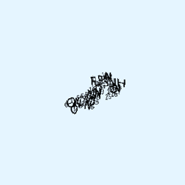 COC(=O)N1CCC(CNCc2nccc(Sc3cnc(Nc4cc(C)ccn4)s3)c2F)(c2ccccn2)CC1